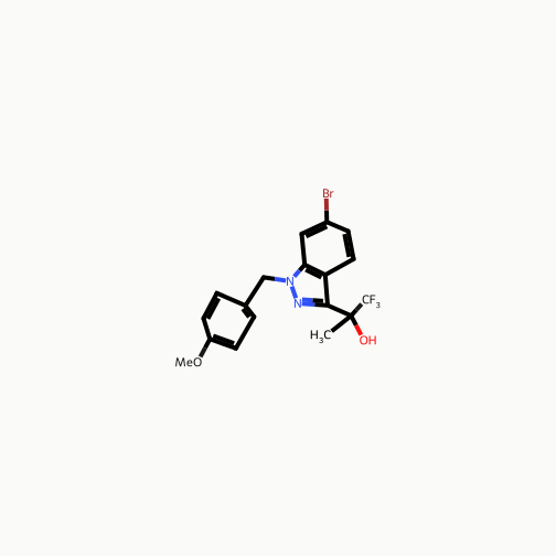 COc1ccc(Cn2nc(C(C)(O)C(F)(F)F)c3ccc(Br)cc32)cc1